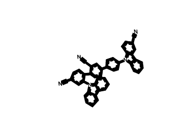 N#Cc1ccc(-c2ccc(-c3ccc(-n4c5ccccc5c5cc(C#N)ccc54)cc3)cc2C#N)c(-n2c3ccccc3c3ccccc32)c1